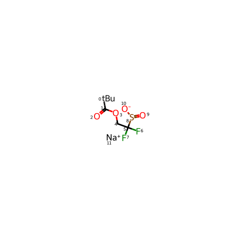 CC(C)(C)C(=O)OCC(F)(F)S(=O)[O-].[Na+]